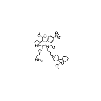 CCC1=C(C(=O)OC)C(c2ccc([N+](=O)[O-])cc2)C(N(C=O)CCCN2CCC(C(=O)OC)(c3ccccc3)CC2)=C(COCCN)N1